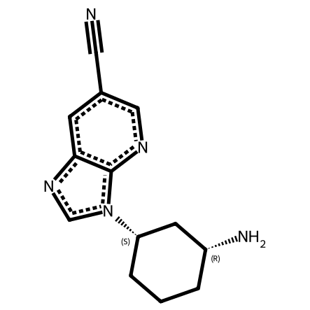 N#Cc1cnc2c(c1)ncn2[C@H]1CCC[C@@H](N)C1